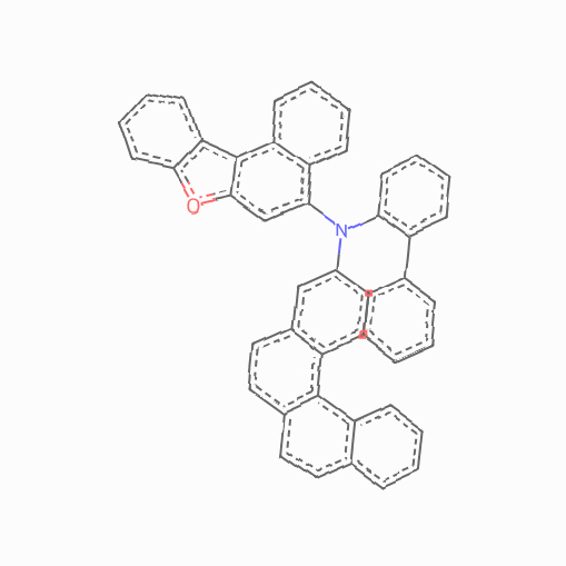 c1ccc(-c2ccccc2N(c2ccc3c(ccc4ccc5ccccc5c43)c2)c2cc3oc4ccccc4c3c3ccccc23)cc1